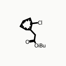 CC(C)COC(=O)Cc1ccccc1Cl